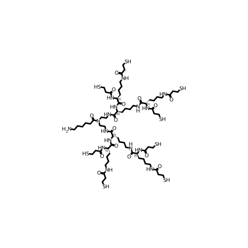 NCCCCCC(=O)N(CCNC(=O)[C@H](CCCCNC(=O)[C@H](CCCCNC(=O)CCS)NC(=O)CCS)NC(=O)[C@H](CCCCNC(=O)CCS)NC(=O)CCS)CCNC(=O)[C@H](CCCCNC(=O)[C@H](CCCCNC(=O)CCS)NC(=O)CCS)NC(=O)[C@H](CCCCNC(=O)CCS)NC(=O)CCS